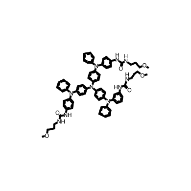 COCCCNC(=O)Nc1ccc(N(c2ccccc2)c2ccc(N(c3ccc(N(c4ccccc4)c4ccc(NC(=O)NCCCOC)cc4)cc3)c3ccc(N(c4ccccc4)c4cccc(NC(=O)NCCCOC)c4)cc3)cc2)cc1